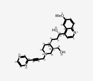 COc1ccc2nccc([C@@H](O)CC[C@@H]3CCN(CC#Cc4cnccn4)C[C@@H]3CO)c2c1